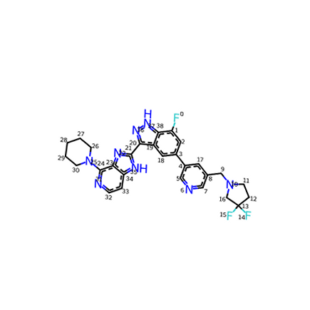 Fc1cc(-c2cncc(CN3CCC(F)(F)C3)c2)cc2c(-c3nc4c(N5CCCCC5)nccc4[nH]3)n[nH]c12